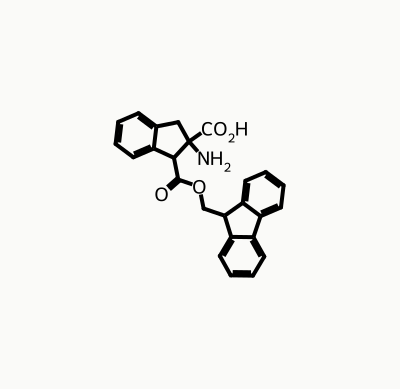 NC1(C(=O)O)Cc2ccccc2C1C(=O)OCC1c2ccccc2-c2ccccc21